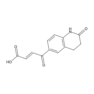 O=C(O)C=CC(=O)c1ccc2c(c1)CCC(=O)N2